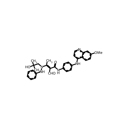 COc1ccc2c(Nc3ccc(NC(=O)/C(C=O)=C(\C)N(CC(C)(C)O)Nc4ccccc4)cc3)ccnc2c1